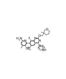 Cc1cc(N)nc(-c2c(Cl)cc3c(N4CC5CCCC4CN5)nc(OCC4(C)CCCOC4)nc3c2F)c1C(F)(F)F